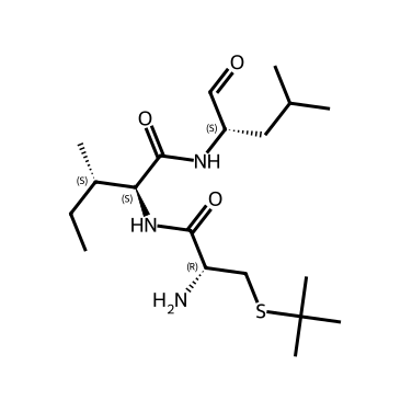 CC[C@H](C)[C@H](NC(=O)[C@@H](N)CSC(C)(C)C)C(=O)N[C@H](C=O)CC(C)C